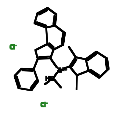 CC1=[C]([Zr+2]([C]2=C(c3ccccc3)Cc3c2ccc2ccccc32)[SiH](C)C)C(C)c2ccccc21.[Cl-].[Cl-]